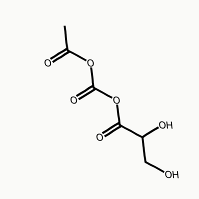 CC(=O)OC(=O)OC(=O)C(O)CO